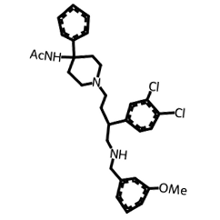 COc1cccc(CNCC(CCN2CCC(NC(C)=O)(c3ccccc3)CC2)c2ccc(Cl)c(Cl)c2)c1